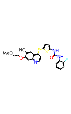 COCCOc1cc2nccc(Sc3ccc(NC(=O)Nc4ccccc4F)s3)c2cc1C#N